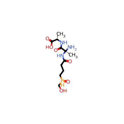 C[C@H](NC(=O)[C@@](C)(N)NC(=O)CCC[PH](=O)CO)C(=O)O